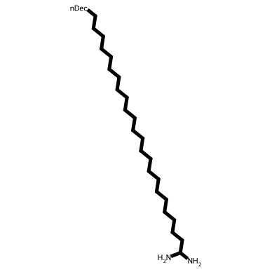 CCCCCCCCCCCCCCCCCCCCCCCCCCCCCCCCCC(N)N